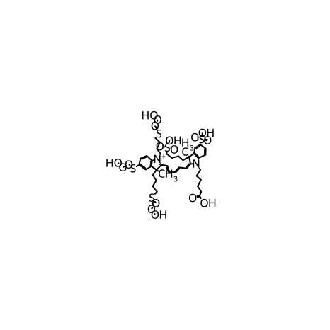 CC1(CCCCSOOO)C(/C=C/C=C/C=C2/N(CCCCCC(=O)O)c3ccc(S(=O)(=O)O)cc3C2(C)CCCCS(=O)(=O)O)=[N+](CCCCSOOO)c2ccc(SOOO)cc21